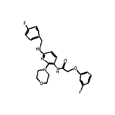 O=C(COc1cccc(F)c1)Nc1ccc(NCc2ccc(F)cc2)nc1N1CCOCC1